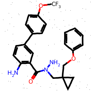 Nc1ccc(-c2ccc(OC(F)(F)F)cc2)cc1C(=O)N(N)CC1(COc2ccccc2)CC1